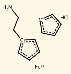 Cl.NCC[c-]1cccc1.[Fe+2].c1cc[cH-]c1